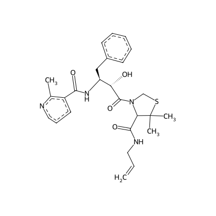 C=CCNC(=O)C1N(C(=O)[C@@H](O)[C@H](Cc2ccccc2)NC(=O)c2cccnc2C)CSC1(C)C